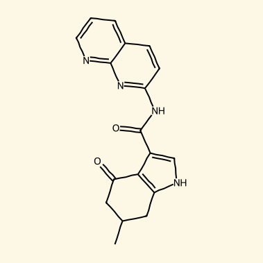 CC1CC(=O)c2c(C(=O)Nc3ccc4cccnc4n3)c[nH]c2C1